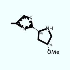 CO[C@H]1CN[C@@H](c2nc(C)cs2)C1